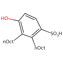 CCCCCCCCc1c(O)ccc(S(=O)(=O)O)c1CCCCCCCC